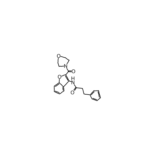 O=C(CCc1ccccc1)Nc1c(C(=O)N2CCOCC2)oc2ccccc12